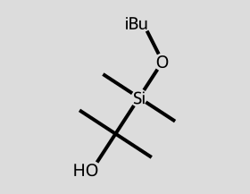 CCC(C)O[Si](C)(C)C(C)(C)O